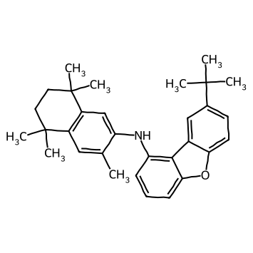 Cc1cc2c(cc1Nc1cccc3oc4ccc(C(C)(C)C)cc4c13)C(C)(C)CCC2(C)C